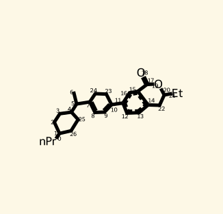 CCCC1CCC(C(C)C2=CC=C(c3ccc4c(c3)C(=O)OC(CC)C4)CC2)CC1